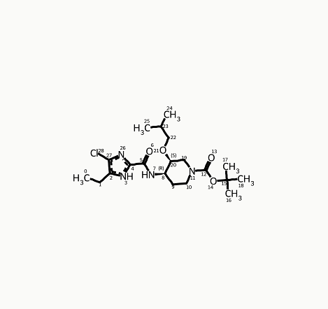 CCc1[nH]c(C(=O)N[C@@H]2CCN(C(=O)OC(C)(C)C)C[C@@H]2OCC(C)C)nc1Cl